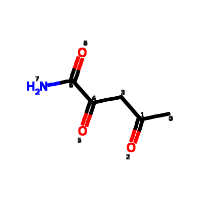 CC(=O)CC(=O)C(N)=O